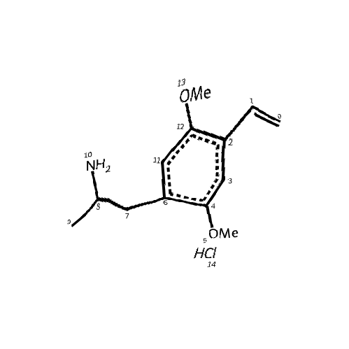 C=Cc1cc(OC)c(CC(C)N)cc1OC.Cl